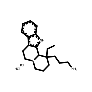 CCC1(CCCN)CCCN2CCc3c([nH]c4ccccc34)C21.Cl.Cl